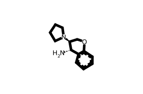 N[C@H]1c2ccccc2OC[C@@H]1N1CCCC1